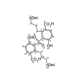 CCCCCCCCCCCCCc1c(C(=O)O)ccc(O)c1S(=O)(=O)c1c(O)ccc(C(=O)O)c1CCCCCCCCCCCCC